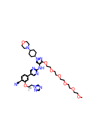 COCCOCCOCCOCCOCCOc1nn([C@H]2CC[C@H](N3CCOCC3)CC2)cc1Nc1ncc(-c2ccc(C#N)c(O[C@@H](C)Cn3cncn3)c2)cn1